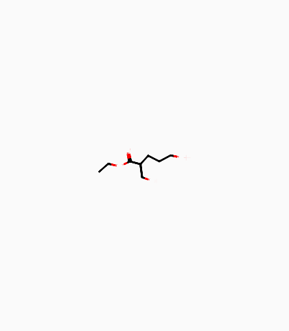 CCOC(=O)C(CO)CCCO